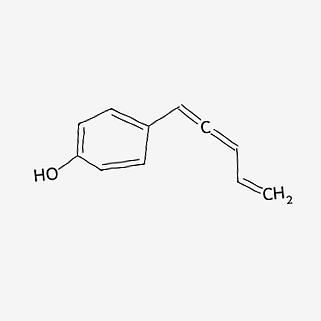 C=CC=C=Cc1ccc(O)cc1